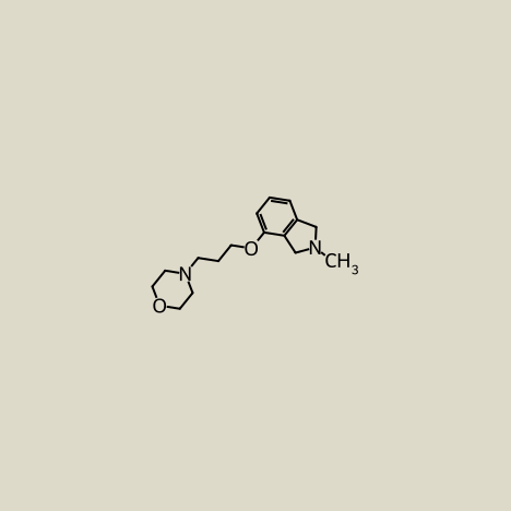 CN1Cc2cccc(OCCCN3CCOCC3)c2C1